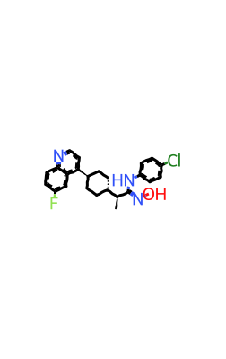 C[C@H](/C(=N/O)Nc1ccc(Cl)cc1)[C@H]1CC[C@H](c2ccnc3ccc(F)cc32)CC1